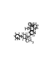 CC1CN(c2ccccn2)CCN1Cc1cnc2c(c1)NC(=O)[C@@H]1CCCN21